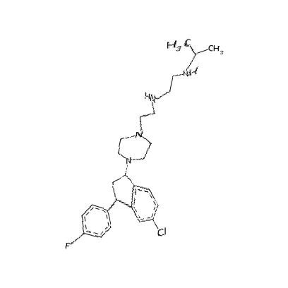 CC(C)NCCNCCN1CCN(C2CC(c3ccc(F)cc3)c3cc(Cl)ccc32)CC1